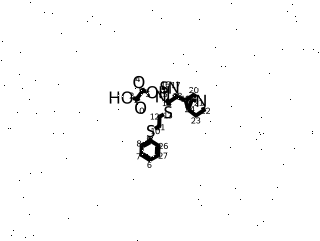 O=C(O)C(=O)O.c1ccc(SCCSc2nsnc2C2CN3CCC2C3)cc1